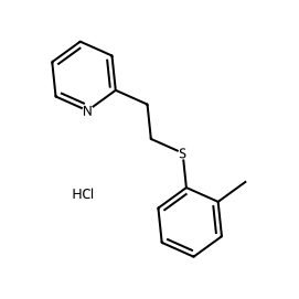 Cc1ccccc1SCCc1ccccn1.Cl